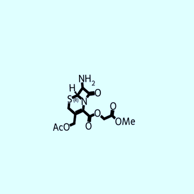 COC(=O)COC(=O)C1=C(COC(C)=O)CS[C@@H]2C(N)C(=O)N12